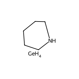 C1CCNCC1.[GeH4]